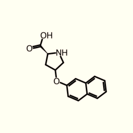 O=C(O)[C@@H]1CC(Oc2ccc3ccccc3c2)CN1